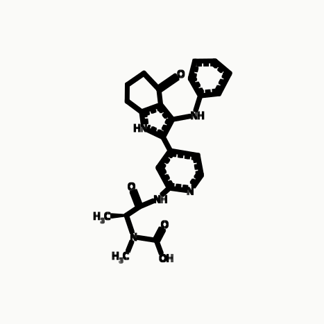 C[C@@H](C(=O)Nc1cc(-c2[nH]c3c(c2Nc2ccccc2)C(=O)CCC3)ccn1)N(C)C(=O)O